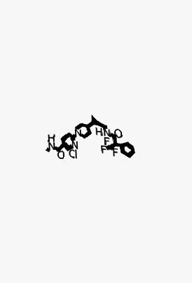 CNC(=O)c1ccc(N2CCC(C3CC3CNC(=O)C(c3ccccc3)C(F)(F)F)CC2)nc1Cl